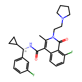 Cc1c(C(=O)N[C@H](c2cccc(F)c2)C2CC2)c2cccc(F)c2c(=O)n1CCN1CCCC1